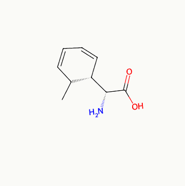 CC1C=CC=C[C@@H]1[C@@H](N)C(=O)O